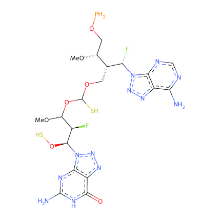 COC(OC(S)OC[C@H]([C@@H](COP)OC)[C@H](F)n1nnc2c(N)ncnc21)[C@@H](F)[C@H](OS)n1nnc2c(=O)[nH]c(N)nc21